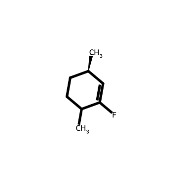 CC1CC[C@@H](C)C=C1F